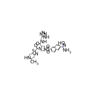 CC1Cc2nc(C(=O)N3CCN(S(=O)(=O)c4ccc5cc(/C(N)=N\O)ccc5c4)CC3C(=O)NCc3nnn[nH]3)sc2CN1